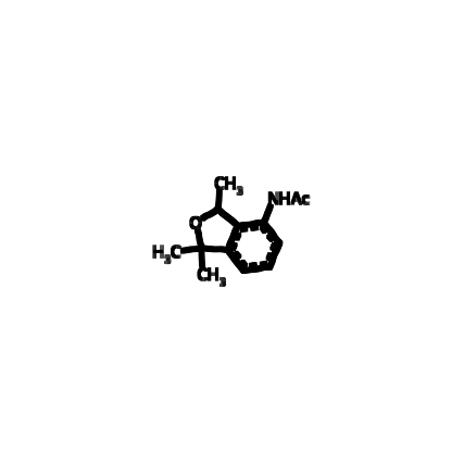 CC(=O)Nc1cccc2c1C(C)OC2(C)C